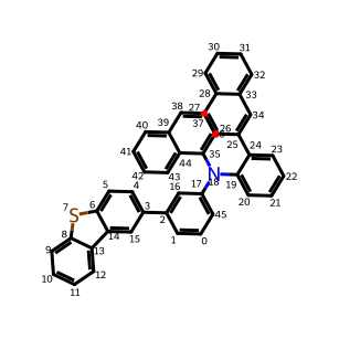 c1cc(-c2ccc3sc4ccccc4c3c2)cc(N(c2ccccc2-c2ccc3ccccc3c2)c2cccc3ccccc23)c1